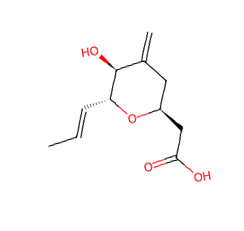 C=C1C[C@@H](CC(=O)O)O[C@H](/C=C/C)[C@H]1O